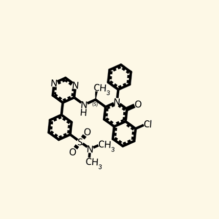 C[C@H](Nc1ncncc1-c1cccc(S(=O)(=O)N(C)C)c1)c1cc2cccc(Cl)c2c(=O)n1-c1ccccc1